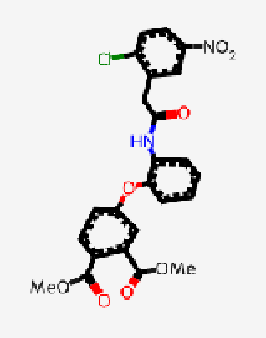 COC(=O)c1ccc(Oc2ccccc2NC(=O)Cc2cc([N+](=O)[O-])ccc2Cl)cc1C(=O)OC